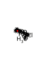 COC(=O)c1cc(Cl)ccc1NC(=O)COc1ccc(C23CC4CC(CC(C4)C2)C3)cc1